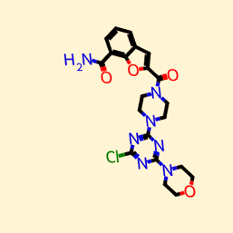 NC(=O)c1cccc2cc(C(=O)N3CCN(c4nc(Cl)nc(N5CCOCC5)n4)CC3)oc12